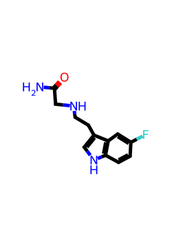 NC(=O)CNCCc1c[nH]c2ccc(F)cc12